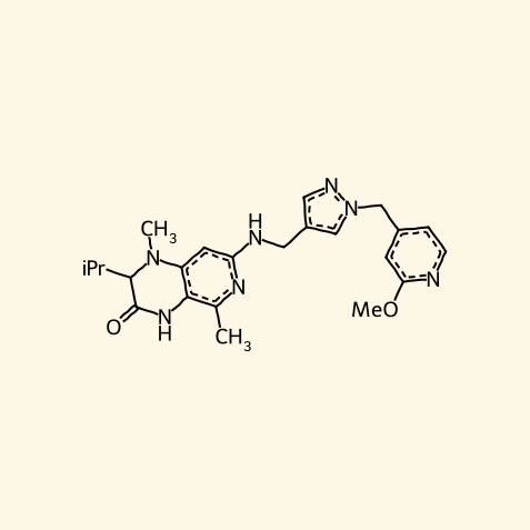 COc1cc(Cn2cc(CNc3cc4c(c(C)n3)NC(=O)C(C(C)C)N4C)cn2)ccn1